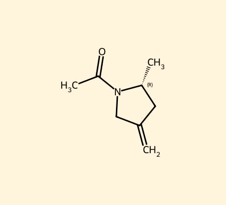 C=C1C[C@@H](C)N(C(C)=O)C1